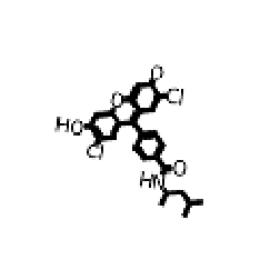 CC(C)CC(C)NC(=O)c1ccc(-c2c3cc(Cl)c(=O)cc-3oc3cc(O)c(Cl)cc23)cc1